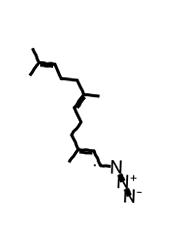 CC(C)=CCCC(C)=CCCC(C)=C[CH]N=[N+]=[N-]